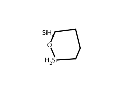 C1CC[SiH2]OC1.[SiH4]